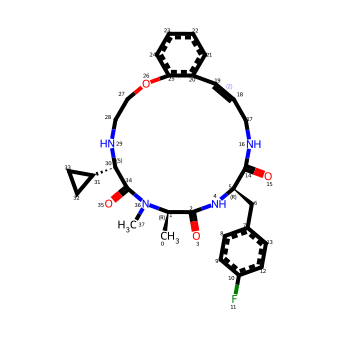 C[C@@H]1C(=O)N[C@H](Cc2ccc(F)cc2)C(=O)NC/C=C\c2ccccc2OCCN[C@@H](C2CC2)C(=O)N1C